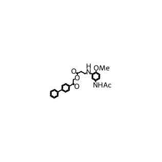 COc1ccc(NC(C)=O)cc1NCCC(=O)OCC(=O)c1ccc(-c2ccccc2)cc1